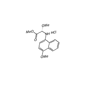 COC(=O)[C@@H](Nc1ccc(OC)c2ccccc12)OC.Cl